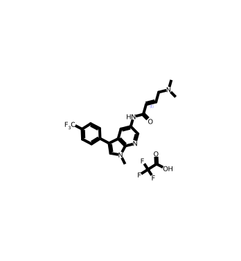 CN(C)C/C=C/C(=O)Nc1cnc2c(c1)c(-c1ccc(C(F)(F)F)cc1)cn2C.O=C(O)C(F)(F)F